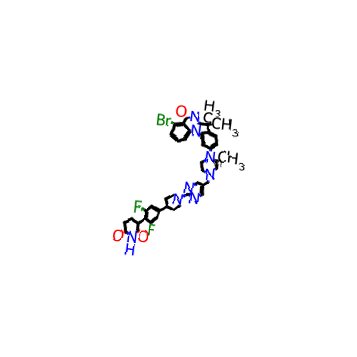 C[C@@H]1CN(Cc2cnc(N3CCC(c4cc(F)c(C5CCC(=O)NC5=O)c(F)c4)CC3)nc2)CCN1c1ccc2c(c1)-n1c(nc(=O)c3c(Br)cccc31)C2(C)C